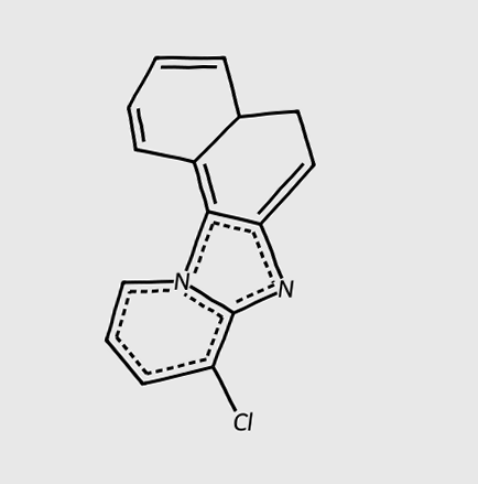 Clc1cccn2c3c(nc12)=CCC1C=CC=CC=31